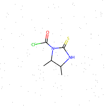 CC1NC(=S)N(C(=O)Cl)C1C